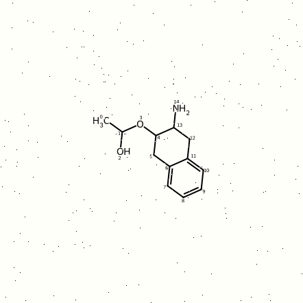 CC(O)OC1Cc2ccccc2CC1N